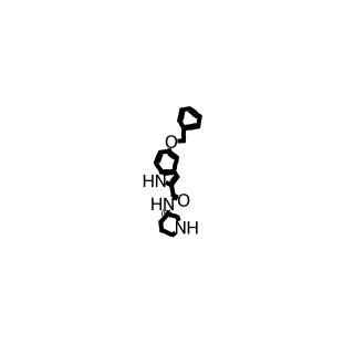 O=C(N[C@@H]1CCCNC1)c1cc2cc(OCc3ccccc3)ccc2[nH]1